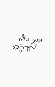 CCN(CC)CC.O=S(=O)(O)c1cccc(NCC2COc3cscc3O2)c1